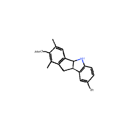 COc1c(C)cc2c(c1C)CC1c3cc(C(C)C)ccc3NC21